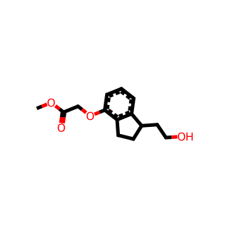 COC(=O)COc1cccc2c1CCC2CCO